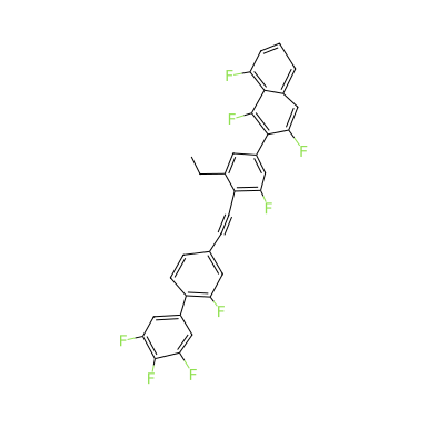 CCc1cc(-c2c(F)cc3cccc(F)c3c2F)cc(F)c1C#Cc1ccc(-c2cc(F)c(F)c(F)c2)c(F)c1